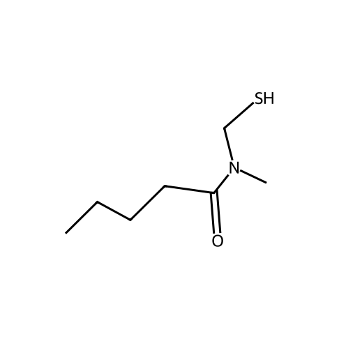 CCCCC(=O)N(C)CS